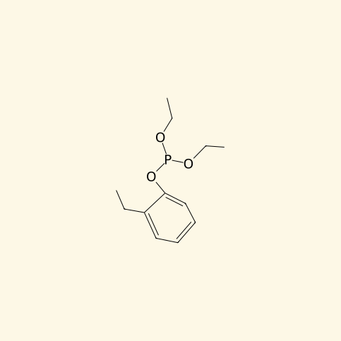 CCOP(OCC)Oc1ccccc1CC